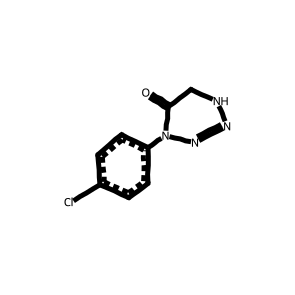 O=C1CNN=NN1c1ccc(Cl)cc1